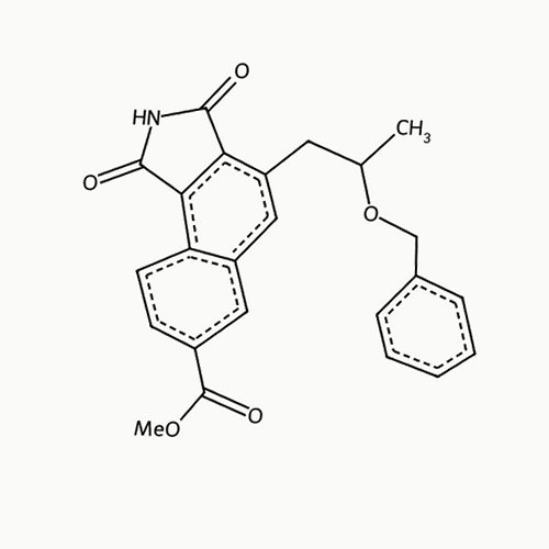 COC(=O)c1ccc2c3c(c(CC(C)OCc4ccccc4)cc2c1)C(=O)NC3=O